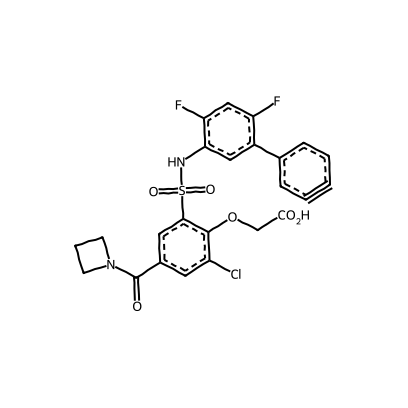 O=C(O)COc1c(Cl)cc(C(=O)N2CCC2)cc1S(=O)(=O)Nc1cc(-c2cc#ccc2)c(F)cc1F